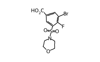 O=C(O)c1cc(Br)c(F)c(S(=O)(=O)N2CCOCC2)c1